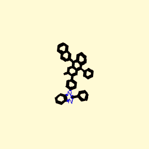 CC1Cc2c(c(-c3ccccc3)c3ccccc3c2-c2ccc3ccccc3c2)C=C1c1ccc(-n2c(-c3ccccc3)nc3c2CCC=C3)cc1